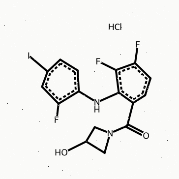 Cl.O=C(c1ccc(F)c(F)c1Nc1ccc(I)cc1F)N1CC(O)C1